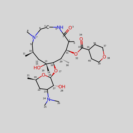 CC1C(=O)NCCN(C)C[C@H](C)C[C@@](C)(O)[C@H](O[C@@H]2O[C@H](C)CC(N(C)C)[C@H]2O)[C@@H](C)[C@@H]1OC(=O)C1CCOCC1